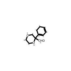 O=CC1(C2=CC=CCC2)COCCO1